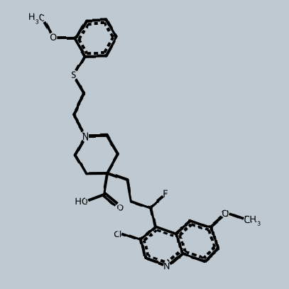 COc1ccc2ncc(Cl)c(C(F)CCC3(C(=O)O)CCN(CCSc4ccccc4OC)CC3)c2c1